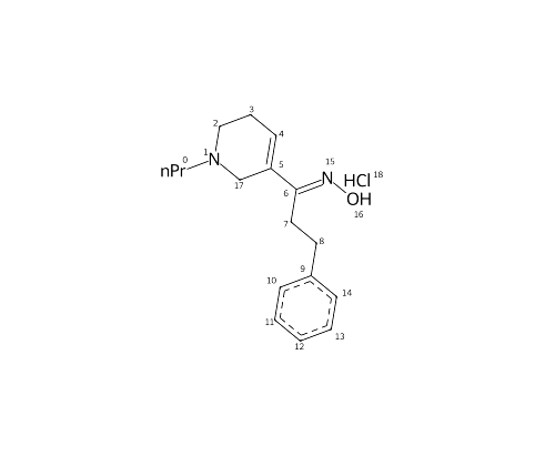 CCCN1CCC=C(C(CCc2ccccc2)=NO)C1.Cl